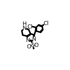 CS(=O)(=O)c1nc2c(c(-c3ccc(Cl)cc3Cl)n1)CNCC2